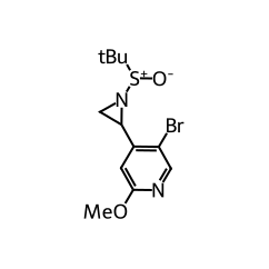 COc1cc(C2CN2[S+]([O-])C(C)(C)C)c(Br)cn1